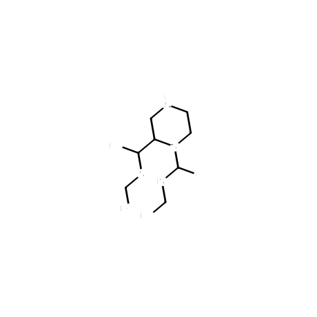 CCNC(C)C1CNCCN1C(C)NCC